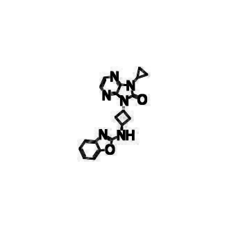 O=c1n(C2CC2)c2nccnc2n1[C@H]1C[C@H](Nc2nc3ccccc3o2)C1